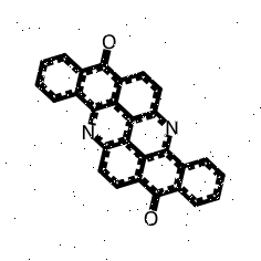 O=c1c2ccccc2c2nc3ccc4c(=O)c5ccccc5c5nc6ccc1c2c6c3c45